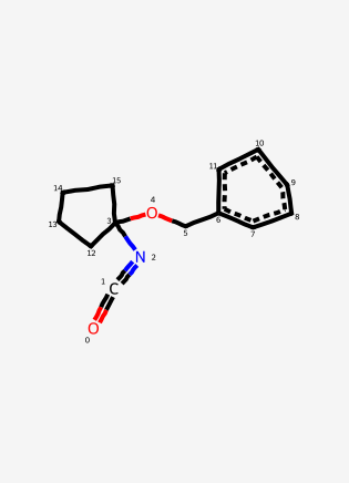 O=C=NC1(OCc2ccccc2)CCCC1